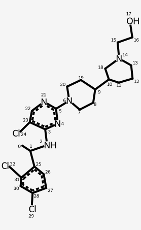 CC(Nc1nc(N2CCC(C3CCCN(CCO)C3)CC2)ncc1Cl)c1ccc(Cl)cc1Cl